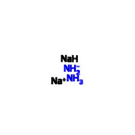 N.[NH2-].[Na+].[NaH]